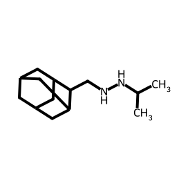 CC(C)NNCC1C2CC3CC(C2)CC1C3